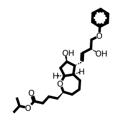 CC(C)OC(=O)CCC[C@@H]1CCC[C@@H]2[C@@H](/C=C/[C@@H](O)COc3ccccc3)[C@H](O)C[C@@H]2O1